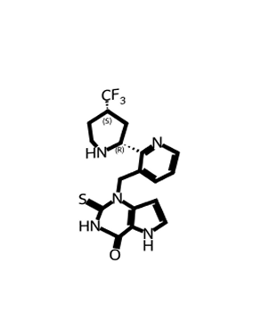 O=c1[nH]c(=S)n(Cc2cccnc2[C@H]2C[C@@H](C(F)(F)F)CCN2)c2cc[nH]c12